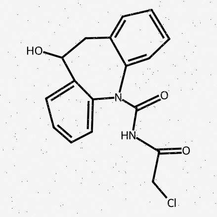 O=C(CCl)NC(=O)N1c2ccccc2CC(O)c2ccccc21